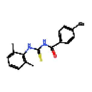 Cc1cccc(C)c1NC(=S)NC(=O)c1ccc(C(C)(C)C)cc1